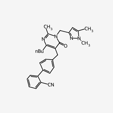 CCCCc1nc(C)n(Cc2cc(C)n(C)n2)c(=O)c1Cc1ccc(-c2ccccc2C#N)cc1